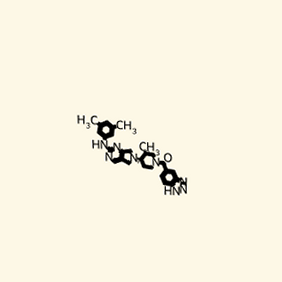 Cc1cc(C)cc(Nc2ncc3c(n2)CN([C@@H]2CCN(C(=O)c4ccc5[nH]nnc5c4)C[C@@H]2C)C3)c1